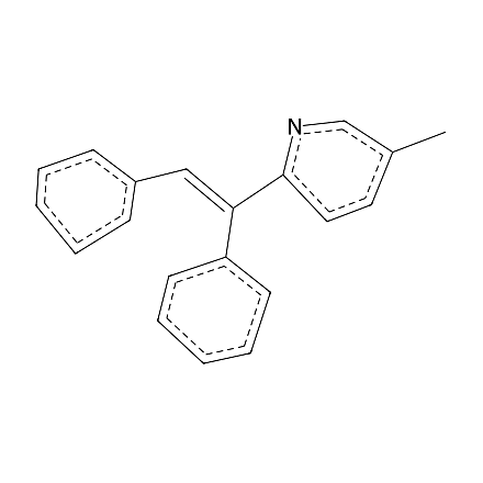 Cc1ccc(C(=Cc2ccccc2)c2ccccc2)nc1